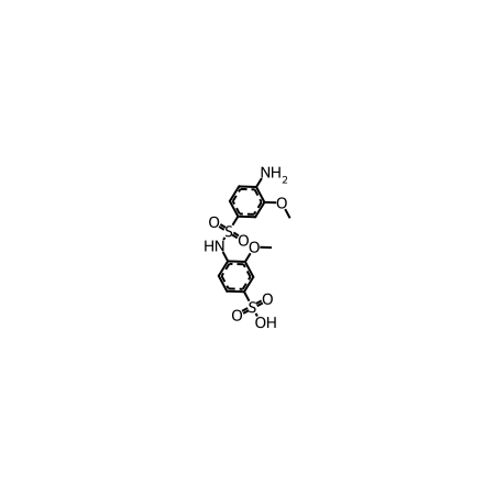 COc1cc(S(=O)(=O)Nc2ccc(S(=O)(=O)O)cc2OC)ccc1N